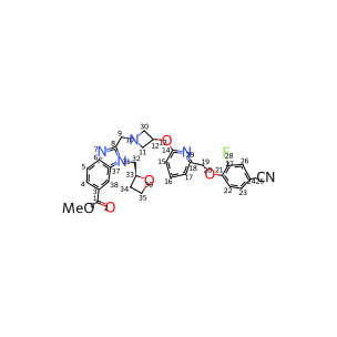 COC(=O)c1ccc2nc(CN3CC(Oc4cccc(COc5ccc(C#N)cc5F)n4)C3)n(C[C@@H]3CCO3)c2c1